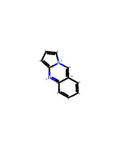 c1ccc2nc3cccn3cc2c1